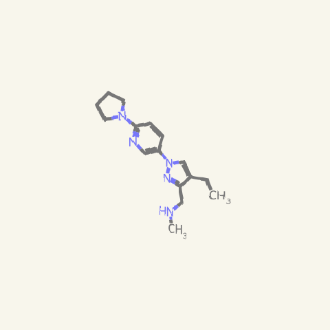 CCc1cn(-c2ccc(N3CCCC3)nc2)nc1CNC